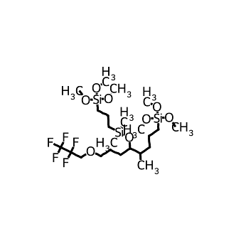 CO[Si](CCCC(C)C(CCCOCC(F)(F)C(F)(F)F)O[Si](C)(C)CCC[Si](OC)(OC)OC)(OC)OC